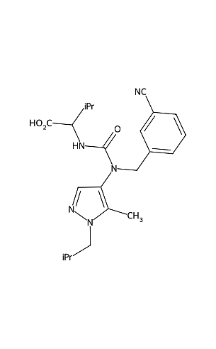 Cc1c(N(Cc2cccc(C#N)c2)C(=O)NC(C(=O)O)C(C)C)cnn1CC(C)C